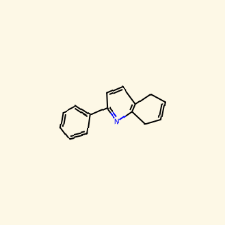 C1=CCc2nc(-c3ccccc3)ccc2C1